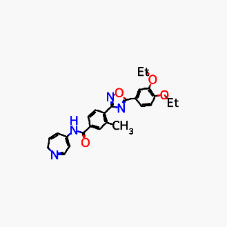 CCOc1ccc(-c2nc(-c3ccc(C(=O)NC4=CC=NCC=C4)cc3C)no2)cc1OCC